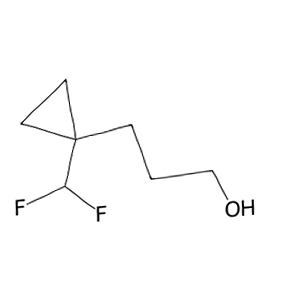 OCCCC1(C(F)F)CC1